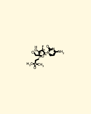 CP(C)(=O)CC[C@@]1(CCl)O[C@@H](n2ccc(N)nc2=O)[C@H](F)[C@@H]1O